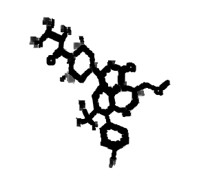 [2H]C([2H])=C([2H])C(=O)N1[C@H](C)CN(c2nc(=O)n3c4c(c(-c5ccc(F)cc5)c(C(F)(F)F)cc24)SC[C@@H]3COC)C[C@@H]1C